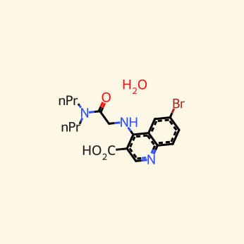 CCCN(CCC)C(=O)CNc1c(C(=O)O)cnc2ccc(Br)cc12.O